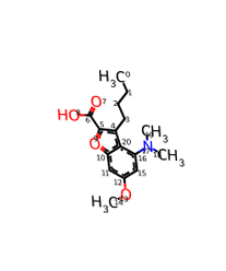 CCCCc1c(C(=O)O)oc2cc(OC)cc(N(C)C)c12